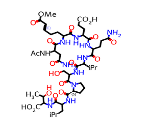 COC(=O)/C=C/CCC(NC(=O)C(CC(N)=O)NC(C)=O)C(=O)NC(CCC(=O)O)C(=O)NC(CCC(N)=O)C(=O)NC(C(=O)NC(CO)C(=O)N1CCC[C@H]1C(=O)NC(CC(C)C)C(=O)NC(C(=O)O)C(C)O)C(C)C